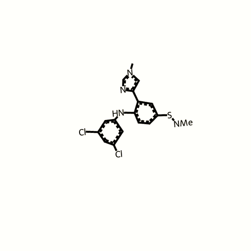 CNSc1ccc(Nc2cc(Cl)cc(Cl)c2)c(-c2cn(C)cn2)c1